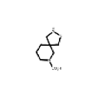 O=C(O)N1CCCC2(CNSC2)C1